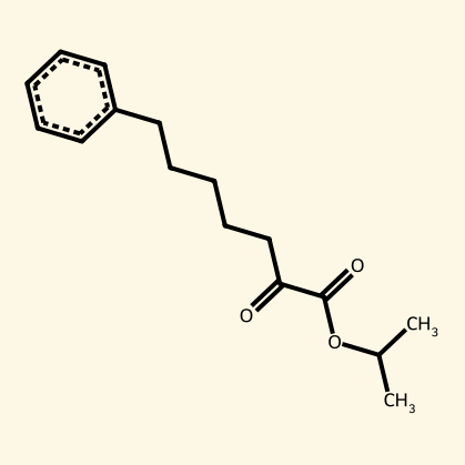 CC(C)OC(=O)C(=O)CCCCCc1ccccc1